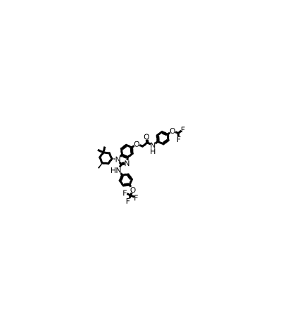 C[C@@H]1C[C@@H](n2c(Nc3ccc(OC(F)(F)F)cc3)nc3cc(OCC(=O)Nc4ccc(OC(F)F)cc4)ccc32)CC(C)(C)C1